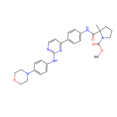 CC(C)(C)OC(=O)N1CCCC1(C)C(=O)Nc1ccc(-c2ccnc(Nc3ccc(N4CCOCC4)cc3)n2)cc1